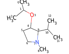 CC(C)OC1CCN(C)C1C(C)C